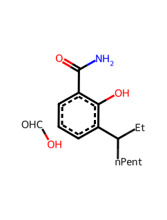 CCCCCC(CC)c1cccc(C(N)=O)c1O.O=CO